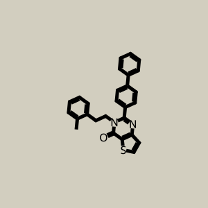 Cc1ccccc1CCn1c(-c2ccc(-c3ccccc3)cc2)nc2ccsc2c1=O